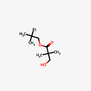 CCC(C)(C)COC(=O)C(C)(C)CO